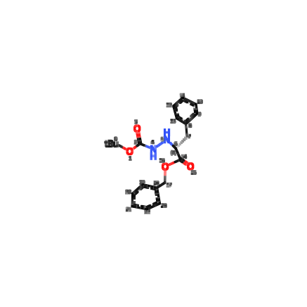 CC(C)(C)OC(=O)NN[C@H](Cc1ccccc1)C(=O)OCc1ccccc1